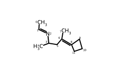 C/C=N/C(C)CC(C)=C1CCC1